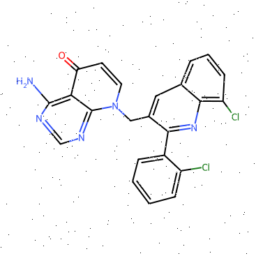 Nc1ncnc2c1c(=O)ccn2Cc1cc2cccc(Cl)c2nc1-c1ccccc1Cl